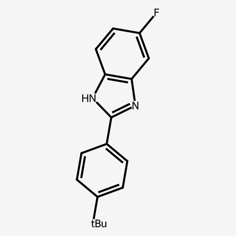 CC(C)(C)c1ccc(-c2nc3cc(F)ccc3[nH]2)cc1